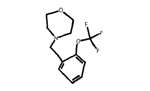 FC(F)(F)Oc1ccccc1CN1CCOCC1